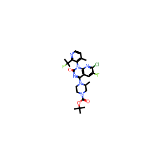 Cc1ccnc(C(C)(C)F)c1-n1c(=O)nc(N2CCN(C(=O)OC(C)(C)C)CC2C)c2cc(F)c(Cl)nc21